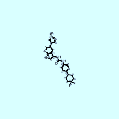 CC(C)n1cc(-c2cnc3[nH]cc(NC(=O)Nc4ccc(C5CCC(F)(F)CC5)nc4)c3c2)cn1